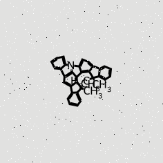 CC1(C)c2ccccc2-c2ccc3c(c21)c1c2c(cc4c5ccccc5n3c41)-c1ccccc1C2(C)C